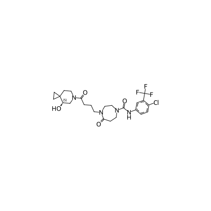 O=C1CCN(C(=O)Nc2ccc(Cl)c(C(F)(F)F)c2)CCN1CCCC(=O)N1CCC2(CC2)[C@H](O)C1